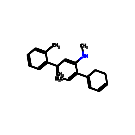 C=C(/C=C(NC)\C(=C/C)C1=CC=CCC1)c1ccccc1C